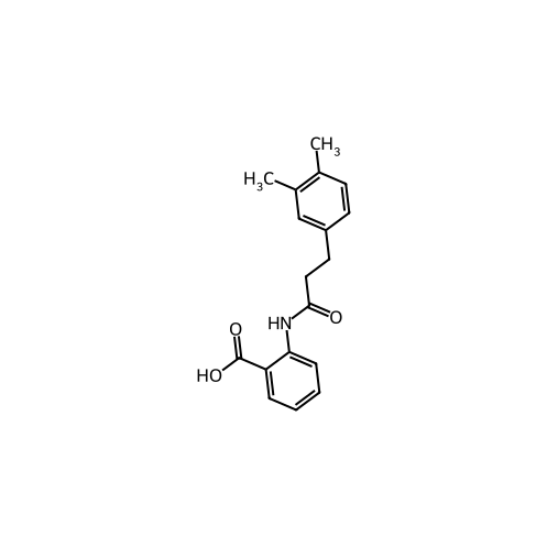 Cc1ccc(CCC(=O)Nc2ccccc2C(=O)O)cc1C